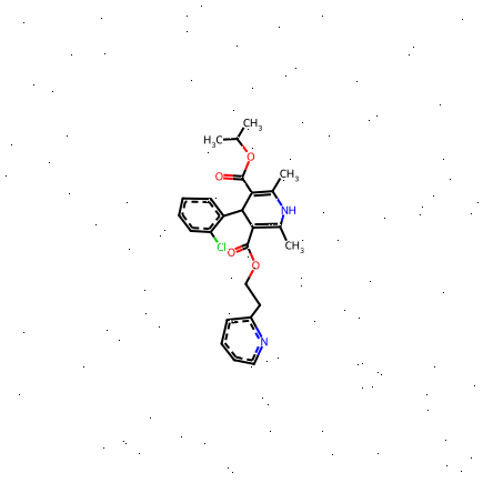 CC1=C(C(=O)OCCc2ccccn2)C(c2ccccc2Cl)C(C(=O)OC(C)C)=C(C)N1